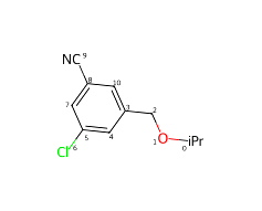 CC(C)OCc1cc(Cl)cc(C#N)c1